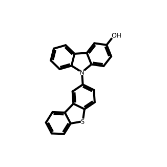 Oc1ccc2c(c1)c1ccccc1n2-c1ccc2sc3ccccc3c2c1